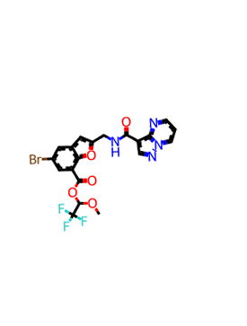 COC(OC(=O)c1cc(Br)cc2cc(CNC(=O)c3cnn4cccnc34)oc12)C(F)(F)F